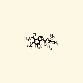 Cc1cc(OC(F)F)c(C(C)Cl)c2ccn(C(=O)OC(C)(C)C)c12